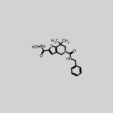 CC1(C)CN(C(=O)NCc2ccccc2)Cc2cc(C(=O)NO)sc21